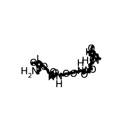 COc1cc(CC(C)N)c(OCCCC(=O)N(C)CC(=O)NCCOCCOCCNC(=O)CN(C)C(=O)CCCOc2cc(I)c(OC)cc2CC(C)N)cc1I